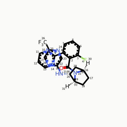 O=C(c1c(F)cccc1-c1ncccn1)N1[C@@H]2CC[C@H]1[C@H](Nc1cnc(C(F)(F)F)cn1)C2